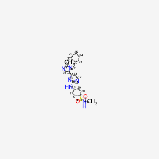 CNS(=O)(=O)c1ccc(Nc2nccc(-c3cnc(C)n3Cc3ccccc3)n2)cc1